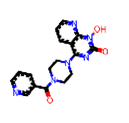 O=C(c1cccnc1)N1CCN(c2nc(=O)n(O)c3ncccc23)CC1